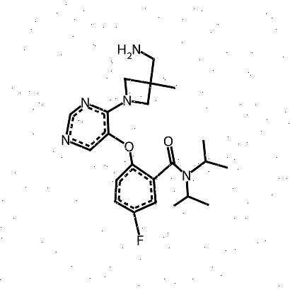 CC(C)N(C(=O)c1cc(F)ccc1Oc1cncnc1N1CC(C)(CN)C1)C(C)C